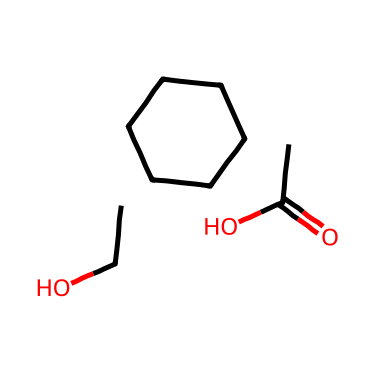 C1CCCCC1.CC(=O)O.CCO